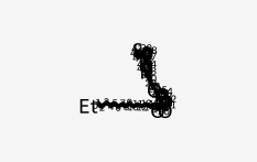 CCC=CCC=CCC=CCCCCCCCC(=O)n1c(=O)ccc2ccc(OCCCCN3CCN(c4cccc5sccc45)CC3)cc21